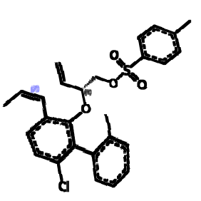 C=C[C@H](COS(=O)(=O)c1ccc(C)cc1)Oc1c(/C=C\C)ccc(Cl)c1-c1ccccc1C